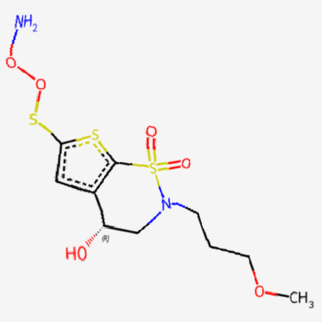 COCCCN1C[C@H](O)c2cc(SOON)sc2S1(=O)=O